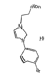 CCCCCCCCCCCN1C=CN(c2ccc(Br)cc2)C1.I